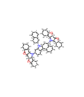 c1ccc2cc(-n3c4cc(-n5c6c7ccccc7oc6c6oc7ccccc7c65)ccc4c4c5ccccc5c(-n5c6c7ccccc7oc6c6oc7ccccc7c65)cc43)ccc2c1